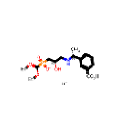 CCOC(OCC)P(=O)([O-])C[C@@H](O)CN[C@H](C)c1cccc(C(=O)O)c1.[Li+]